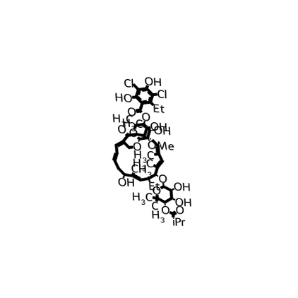 CCc1c(Cl)c(O)c(Cl)c(O)c1C(=O)O[C@H]1[C@H](O)[C@H](OC)[C@H](OC/C2=C\C=C\C[C@H](O)/C(C)=C/[C@H](CC)[C@@H](O[C@@H]3OC(C)(C)[C@@H](OC(=O)C(C)C)[C@H](O)[C@@H]3O)/C(C)=C/C(C)=C/C[C@@H]([C@@H](C)O)CC2=O)O[C@@H]1C